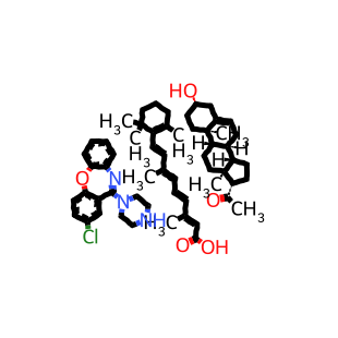 CC(=O)[C@H]1CC[C@H]2[C@@H]3CC=C4C[C@@H](O)CC[C@]4(C)[C@H]3CC[C@]12C.CC1=C(/C=C/C(C)=C/C=C/C(C)=C/C(=O)O)C(C)(C)CCC1.Clc1ccc2c(c1)C(N1CCNCC1)=Nc1ccccc1O2